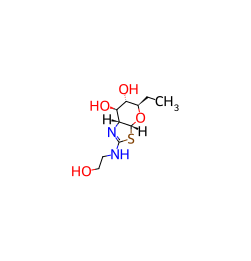 CC[C@H]1O[C@@H]2SC(NCCO)=N[C@@H]2[C@@H](O)[C@@H]1O